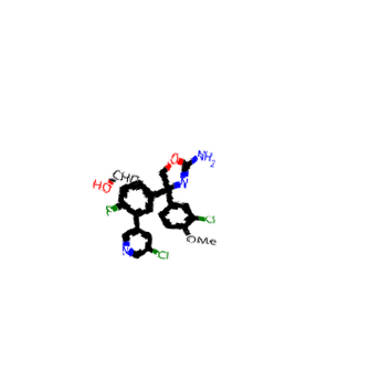 COc1ccc(C2(c3ccc(F)c(-c4cncc(Cl)c4)c3)COC(N)=N2)cc1Cl.O=CO